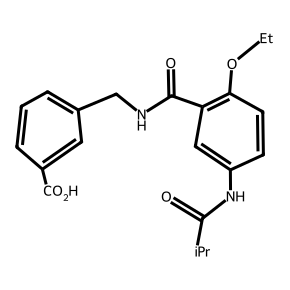 CCOc1ccc(NC(=O)C(C)C)cc1C(=O)NCc1cccc(C(=O)O)c1